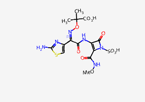 CONC(=O)C1=C(NC(=O)/C(=N\OC(C)(C)C(=O)O)c2csc(N)n2)C(=O)N1S(=O)(=O)O